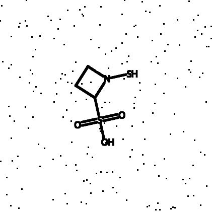 O=S(=O)(O)C1CCN1S